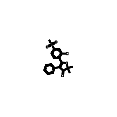 CC1(C)OC(c2ccc(S(C)(=O)=O)cc2Cl)=C(c2ccccc2)C1=O